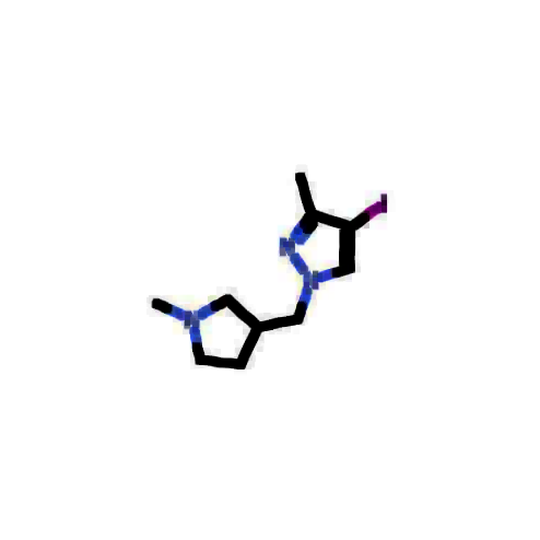 Cc1nn(CC2CCN(C)C2)cc1I